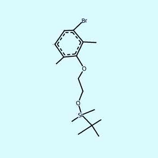 Cc1[c]cc(Br)c(C)c1OCCO[Si](C)(C)C(C)(C)C